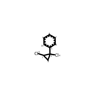 ClC1CC1(Cl)c1[c]cccc1